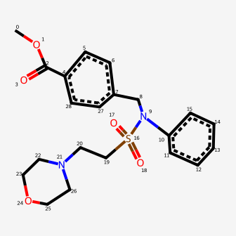 COC(=O)c1ccc(CN(c2ccccc2)S(=O)(=O)CCN2CCOCC2)cc1